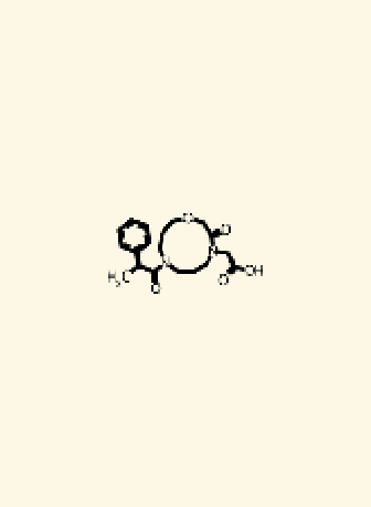 CC(C(=O)N1CCCOCC(=O)N(CC(=O)O)CCC1)c1ccccc1